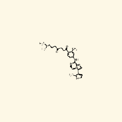 Cc1cc(Nc2nccn3c(C4=CCN=C4C(F)(F)F)cnc23)ccc1C(=O)CCC(=O)CCCN(C)C